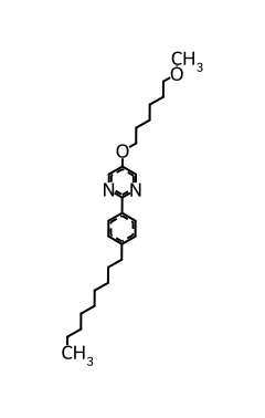 CCCCCCCCCc1ccc(-c2ncc(OCCCCCCOC)cn2)cc1